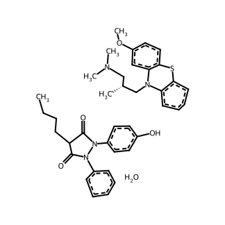 CCCCC1C(=O)N(c2ccccc2)N(c2ccc(O)cc2)C1=O.COc1ccc2c(c1)N(C[C@H](C)CN(C)C)c1ccccc1S2.O